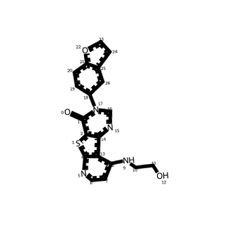 O=c1c2sc3nccc(NCCO)c3c2ncn1-c1ccc2occc2c1